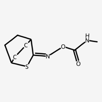 CNC(=O)ON=C1SC2CCC1CC2